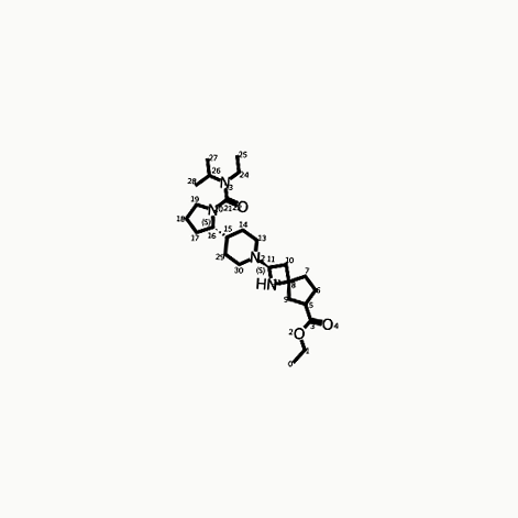 CCOC(=O)C1CCC2(C1)C[C@H](N1CCC([C@@H]3CCCN3C(=O)N(CC)C(C)C)CC1)N2